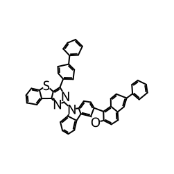 c1ccc(-c2ccc(-c3nc(-n4c5ccccc5c5c6oc7ccc8cc(-c9ccccc9)ccc8c7c6ccc54)nc4c3sc3ccccc34)cc2)cc1